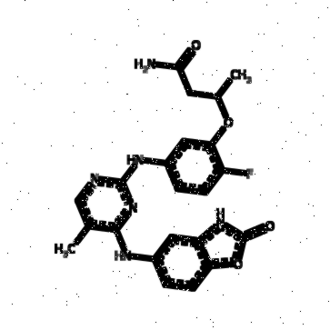 Cc1cnc(Nc2ccc(F)c(OC(C)CC(N)=O)c2)nc1Nc1ccc2oc(=O)[nH]c2c1